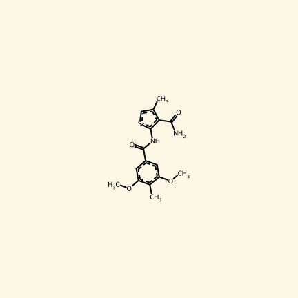 COc1cc(C(=O)Nc2scc(C)c2C(N)=O)cc(OC)c1C